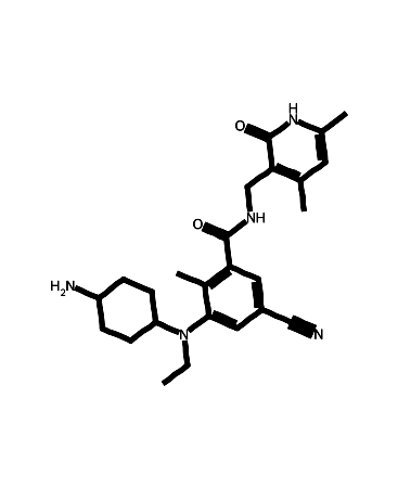 CCN(c1cc(C#N)cc(C(=O)NCc2c(C)cc(C)[nH]c2=O)c1C)C1CCC(N)CC1